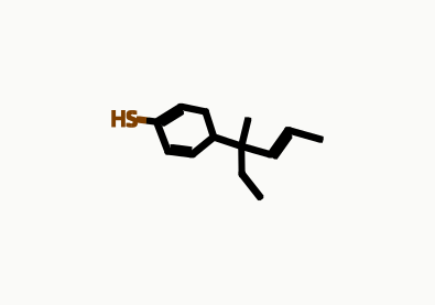 CC=CC(C)(CC)C1C=CC(S)=CC1